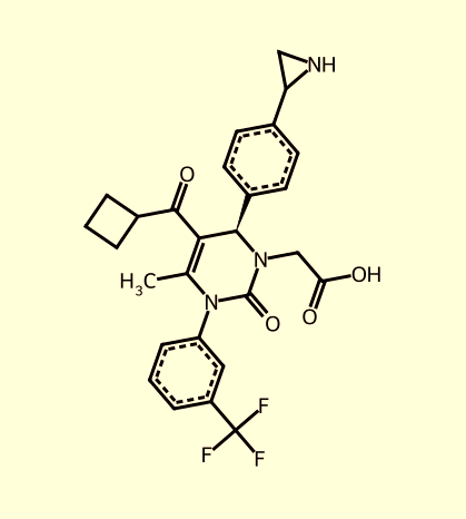 CC1=C(C(=O)C2CCC2)[C@@H](c2ccc(C3CN3)cc2)N(CC(=O)O)C(=O)N1c1cccc(C(F)(F)F)c1